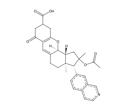 CC(=O)OC1(C)C[C@H]2[C@@H]3OC4=C(C=C3CC[C@]2(C)[C@H]1c1ccc2ccncc2c1)C(=O)CC(C(=O)O)C4